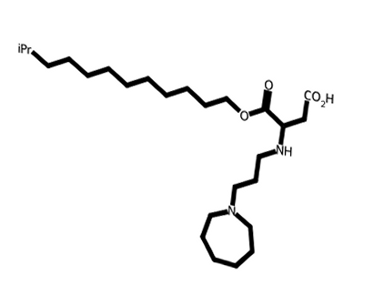 CC(C)CCCCCCCCCCOC(=O)C(CC(=O)O)NCCCN1CCCCCC1